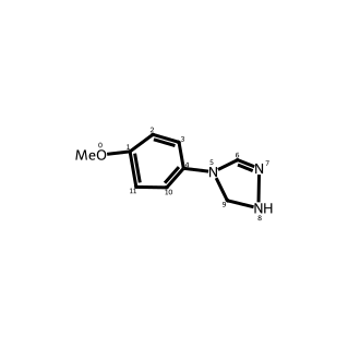 COc1ccc(N2C=NNC2)cc1